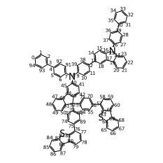 c1ccc(-c2ccc(N(c3ccc(-c4ccc5c(c4)c4ccccc4n5-c4ccc(-c5ccccc5)cc4)cc3)c3ccc4c(c3)-c3ccccc3C4(c3ccc(-c4cccc5c4sc4ccccc45)cc3)c3ccc(-c4cccc5c4sc4ccccc45)cc3)cc2)cc1